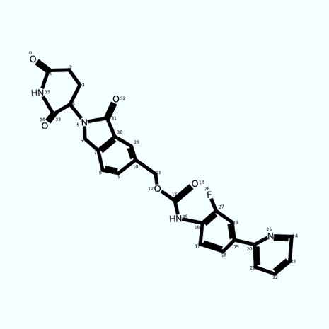 O=C1CCC(N2Cc3ccc(COC(=O)Nc4ccc(-c5ccccn5)cc4F)cc3C2=O)C(=O)N1